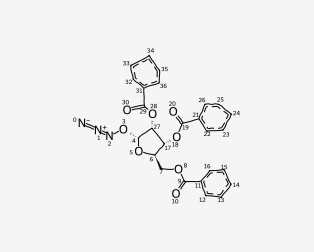 [N-]=[N+]=NO[C@H]1O[C@H](COC(=O)c2ccccc2)[C@@H](OC(=O)c2ccccc2)[C@H]1OC(=O)c1ccccc1